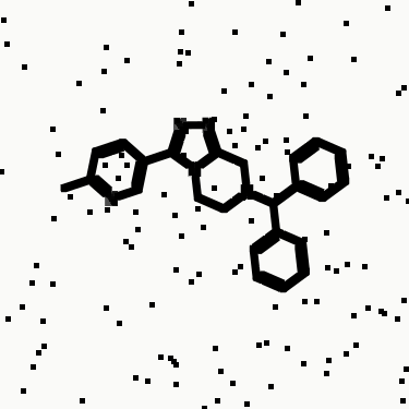 Cc1ccc(-c2nnc3n2CCN(C(c2ccccc2)c2ccccc2)C3)cn1